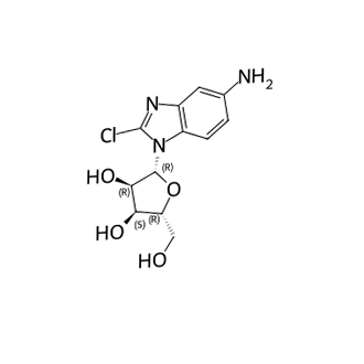 Nc1ccc2c(c1)nc(Cl)n2[C@@H]1O[C@H](CO)[C@@H](O)[C@H]1O